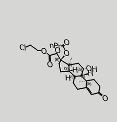 CCCC(=O)O[C@]1(C(=O)C(=O)OCCCl)CC[C@H]2[C@@H]3CCC4=CC(=O)CC[C@]4(C)[C@H]3[C@@H](O)C[C@@]21C